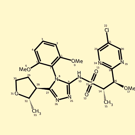 COc1cccc(OC)c1-n1c(NS(=O)(=O)[C@@H](C)[C@H](OC)c2ncc(Cl)cn2)nnc1[C@@H]1CCO[C@H]1C